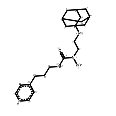 CCCN(CCNC12CC3CC(CC(C3)C1)C2)C(=O)NCCCc1ccncc1